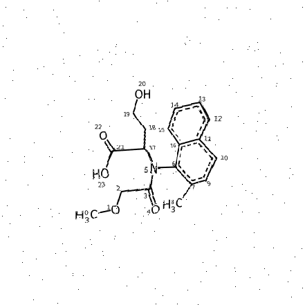 COCC(=O)N(c1c(C)ccc2ccccc12)C(CCO)C(=O)O